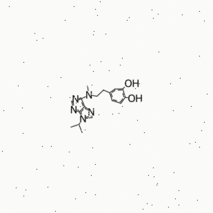 CC(C)n1cnc2c(N(C)CCc3ccc(O)c(O)c3)ncnc21